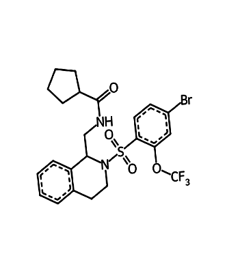 O=C(NCC1c2ccccc2CCN1S(=O)(=O)c1ccc(Br)cc1OC(F)(F)F)C1CCCC1